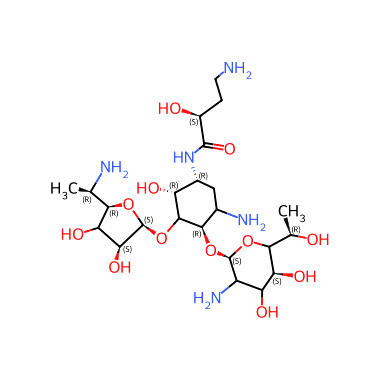 C[C@@H](O)C1O[C@H](O[C@@H]2C(N)C[C@@H](NC(=O)[C@@H](O)CCN)[C@@H](O)C2O[C@@H]2O[C@H]([C@@H](C)N)C(O)[C@@H]2O)C(N)C(O)[C@@H]1O